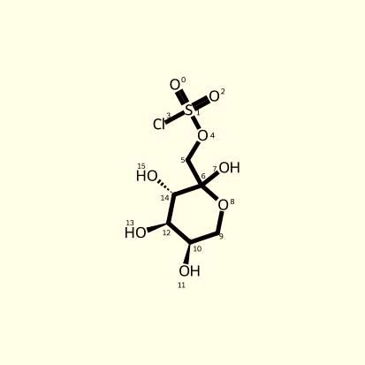 O=S(=O)(Cl)OCC1(O)OC[C@@H](O)[C@@H](O)[C@@H]1O